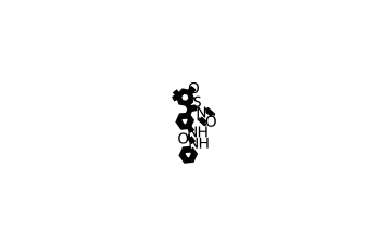 CC1(C)CC(=O)c2sc(N3CCOCC3)c(-c3cccc(NC(=O)Nc4ccccc4)c3)c2C1